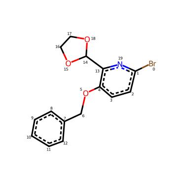 Brc1ccc(OCc2ccccc2)c(C2OCCO2)n1